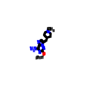 CCC[C@H](C)Oc1nc(N)c2ncc(CC3CCN(C)CC3)n2n1